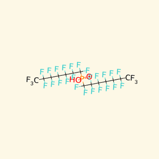 O=P(O)(C(F)(F)C(F)(F)C(F)(F)C(F)(F)C(F)(F)C(F)(F)C(F)(F)F)C(F)(F)C(F)(F)C(F)(F)C(F)(F)C(F)(F)C(F)(F)C(F)(F)F